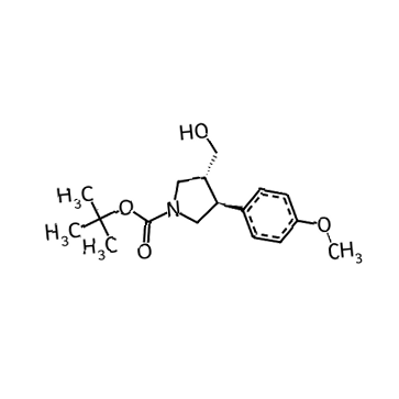 COc1ccc([C@H]2CN(C(=O)OC(C)(C)C)C[C@@H]2CO)cc1